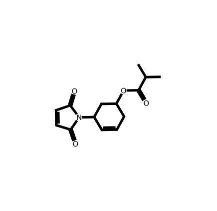 CC(C)C(=O)OC1CC=CC(N2C(=O)C=CC2=O)C1